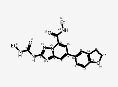 CCNC(=O)Nc1nc2cc(-c3ccc4c(c3)CCO4)cc(C(=O)NCC)n2n1